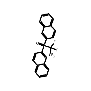 O=P(c1ccc2ccccc2c1)(c1ccc2ccccc2c1)C(F)(F)C(F)(F)F